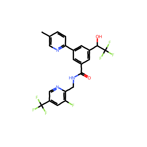 Cc1ccc(-c2cc(C(=O)NCc3ncc(C(F)(F)F)cc3F)cc(C(O)C(F)(F)F)c2)nc1